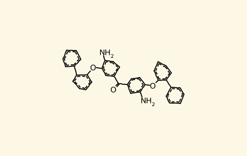 Nc1cc(C(=O)c2ccc(N)c(Oc3ccccc3-c3ccccc3)c2)ccc1Oc1ccccc1-c1ccccc1